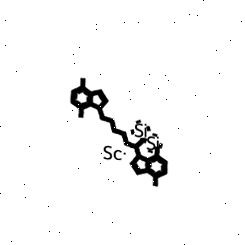 Cc1ccc(C)c2c1C=CC2CCCCCC(C1C=Cc2c(C)ccc(C)c21)C([Si](C)(C)C)[Si](C)(C)C.[Sc]